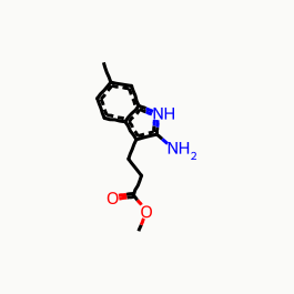 COC(=O)CCc1c(N)[nH]c2cc(C)ccc12